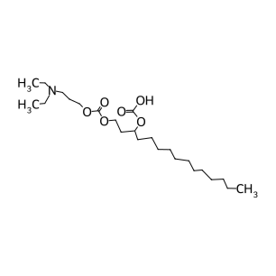 CCCCCCCCCCCCC(CCOC(=O)OCCCN(CC)CC)OC(=O)O